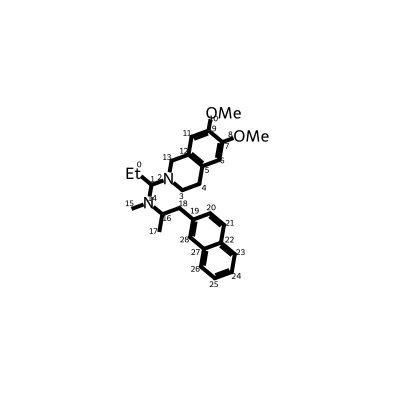 CCC(N1CCc2cc(OC)c(OC)cc2C1)N(C)C(C)Cc1ccc2ccccc2c1